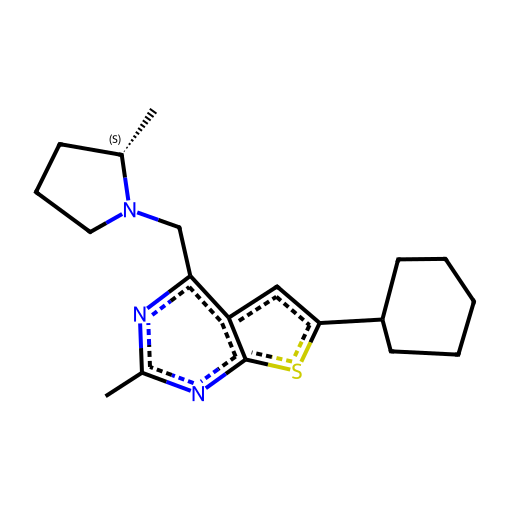 Cc1nc(CN2CCC[C@@H]2C)c2cc(C3CCCCC3)sc2n1